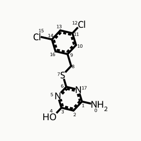 Nc1cc(O)nc(SCc2cc(Cl)cc(Cl)c2)n1